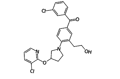 O=C(c1cccc(Cl)c1)c1ccc(N2CCC(Oc3ncccc3Cl)C2)c(CCO)c1